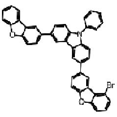 Brc1cccc2oc3ccc(-c4ccc5c(c4)c4cc(-c6ccc7oc8ccccc8c7c6)ccc4n5-c4ccccc4)cc3c12